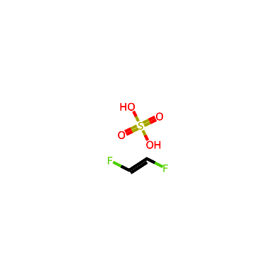 FC=CF.O=S(=O)(O)O